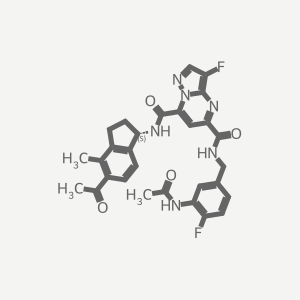 CC(=O)Nc1cc(CNC(=O)c2cc(C(=O)N[C@H]3CCc4c3ccc(C(C)=O)c4C)n3ncc(F)c3n2)ccc1F